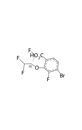 O=C(O)c1ccc(Br)c(F)c1O[C@@H](CF)C(F)F